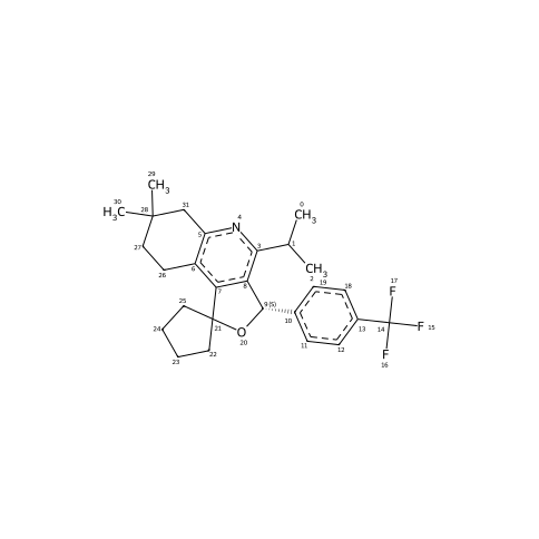 CC(C)c1nc2c(c3c1[C@H](c1ccc(C(F)(F)F)cc1)OC31CCCC1)CCC(C)(C)C2